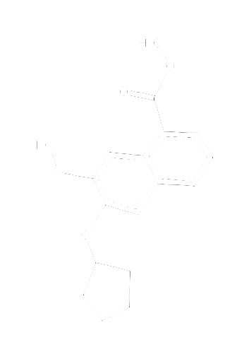 COC(=O)c1cccc2cc(OC3CCCC3)c(OC)cc12